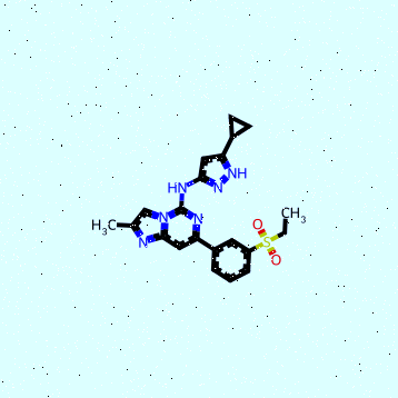 CCS(=O)(=O)c1cccc(-c2cc3nc(C)cn3c(Nc3cc(C4CC4)[nH]n3)n2)c1